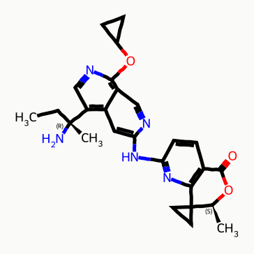 CC[C@@](C)(N)c1cnc(OC2CC2)c2cnc(Nc3ccc4c(n3)C3(CC3)[C@H](C)OC4=O)cc12